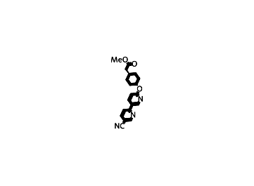 COC(=O)C[C@H]1CC[C@H](Oc2ccc(-c3ccc(C#N)cn3)cn2)CC1